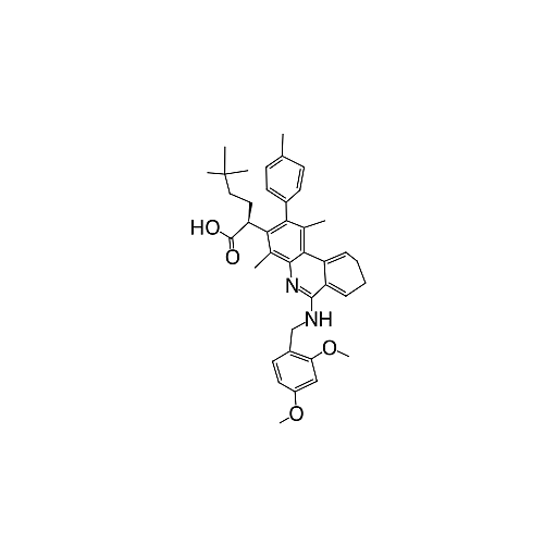 COc1ccc(CNc2nc3c(C)c([C@H](CCC(C)(C)C)C(=O)O)c(-c4ccc(C)cc4)c(C)c3c3c2=CCCC=3)c(OC)c1